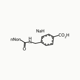 CCCCCCCCCC(=O)NCc1ccc(C(=O)O)cc1.[NaH]